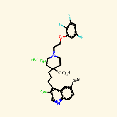 COc1ccc2ncc(Cl)c(CCCC3(C(=O)O)CCN(CCOc4cc(F)cc(F)c4F)CC3)c2c1.Cl.Cl